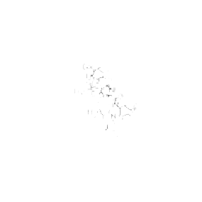 C=CCN(CC=C)c1ccc(Cl)cc1NC(=O)C(=O)N[C@@H](Cc1ccc(Br)cc1)C(=O)OC(C)(C)C